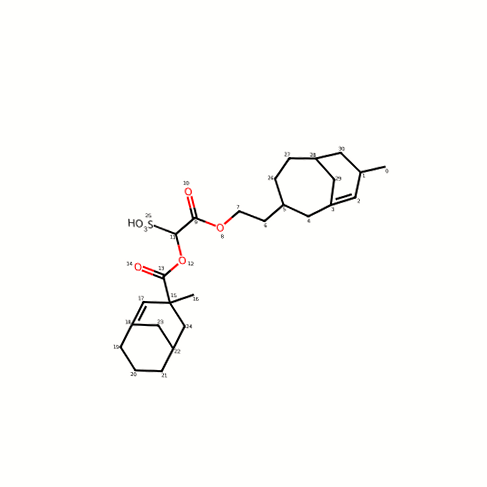 CC1C=C2CC(CCOC(=O)C(OC(=O)C3(C)C=C4CCCC(C4)C3)S(=O)(=O)O)CCC(C2)C1